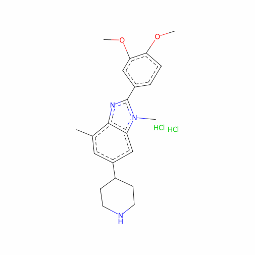 COc1ccc(-c2nc3c(C)cc(C4CCNCC4)cc3n2C)cc1OC.Cl.Cl